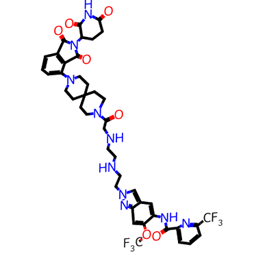 O=C1CCC(N2C(=O)c3cccc(N4CCC5(CCN(C(=O)CNCCNCCn6cc7cc(NC(=O)c8cccc(C(F)(F)F)n8)c(OC(F)(F)F)cc7n6)CC5)CC4)c3C2=O)C(=O)N1